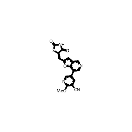 COc1ncc(-c2cncc3cc(/C=C4/SC(=O)NC4=O)oc23)cc1C#N